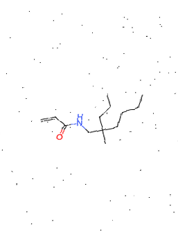 C=CC(=O)NCC(C)(CCC)CCCC